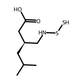 CC(C)C[C@H](CNSS)CC(=O)O